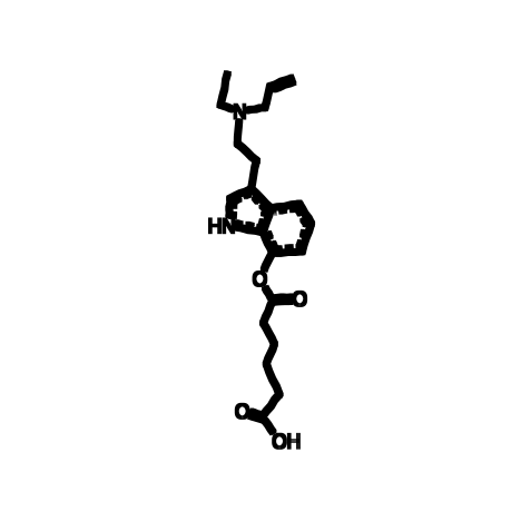 C=CCN(CC)CCc1c[nH]c2c(OC(=O)CCCCC(=O)O)cccc12